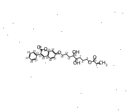 C=CC(=O)OCCCC(O)C(O)CCCOc1ccc2cc(-c3ccccc3)c(=O)oc2c1